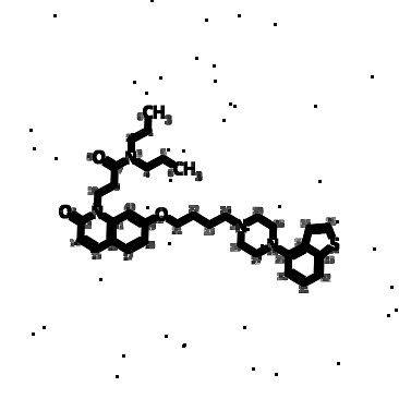 CCCN(CCC)C(=O)CCn1c(=O)ccc2ccc(OCCCCN3CCN(c4cccc5sccc45)CC3)cc21